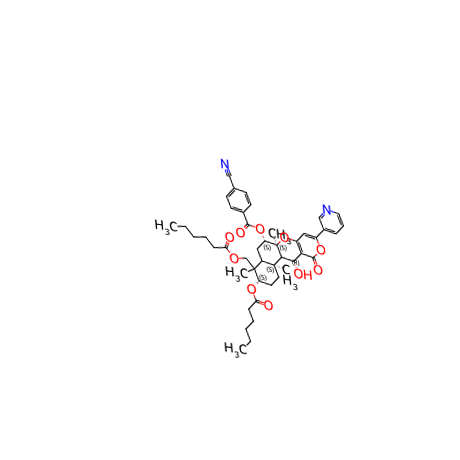 CCCCCC(=O)OCC1(C)C2C[C@H](OC(=O)c3ccc(C#N)cc3)[C@@]3(C)Oc4cc(-c5cccnc5)oc(=O)c4[C@H](O)C3[C@@]2(C)CC[C@@H]1OC(=O)CCCCC